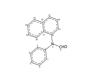 O=CN(c1cc[c]cc1)c1cccc2ccccc12